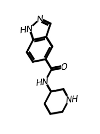 O=C(NC1CCCNC1)c1ccc2[nH]ncc2c1